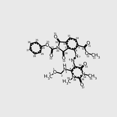 COCNc1c(N=Nc2c(C(=O)OC)ccc3c2C(=O)N(C(=O)Oc2ccccc2)C3=O)c(=O)n(C)c(=O)n1C